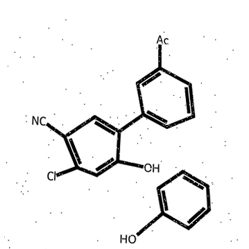 CC(=O)c1cccc(-c2cc(C#N)c(Cl)cc2O)c1.Oc1ccccc1